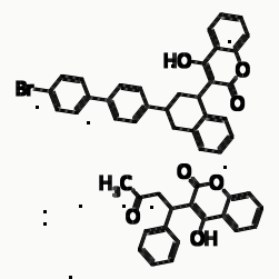 CC(=O)CC(c1ccccc1)c1c(O)c2ccccc2oc1=O.O=c1oc2ccccc2c(O)c1C1CC(c2ccc(-c3ccc(Br)cc3)cc2)Cc2ccccc21